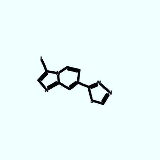 Ic1cnc2cc(-c3nncs3)ccn12